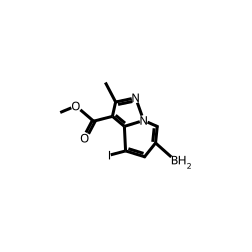 Bc1cc(I)c2c(C(=O)OC)c(C)nn2c1